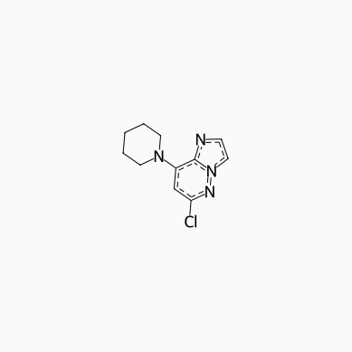 Clc1cc(N2CCCCC2)c2nccn2n1